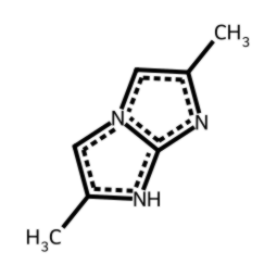 Cc1cn2cc(C)[nH]c2n1